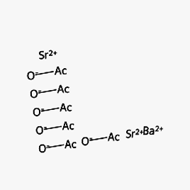 CC(=O)[O-].CC(=O)[O-].CC(=O)[O-].CC(=O)[O-].CC(=O)[O-].CC(=O)[O-].[Ba+2].[Sr+2].[Sr+2]